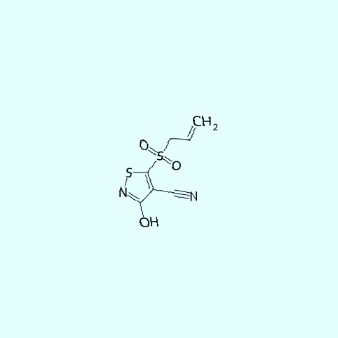 C=CCS(=O)(=O)c1snc(O)c1C#N